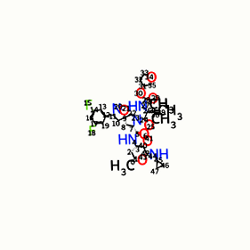 CCC[C@H](NC(=O)[C@@H]1C[C@@]2(CC(c3cc(F)cc(F)c3)=NO2)CN1C(=O)[C@@H](NC(=O)O[C@H]1CCOC1)C(C)(C)C)C(=O)C(=O)NC1CC1